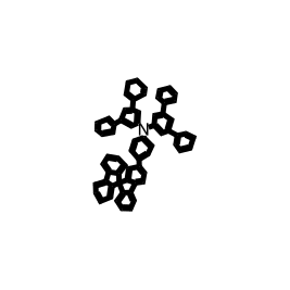 C1=CC(c2cc(-c3ccccc3)cc(N(c3ccc(-c4ccc5c(c4)C4(c6ccccc6-c6ccccc64)c4ccccc4-5)cc3)c3cc(-c4ccccc4)cc(-c4ccccc4)c3)c2)=CCC1